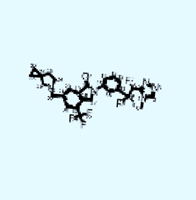 Cn1cnnc1[C@H](F)[C@](C)(F)c1cccc(N2Cc3c(cc(CN4CCC5(CC5)C4)cc3C(F)(F)F)C2=O)c1